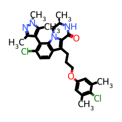 Cc1cc(OCCCc2c3n(c4c(-c5c(C)nn(C)c5C)c(Cl)ccc24)C[C@@H](C)NC3=O)cc(C)c1Cl